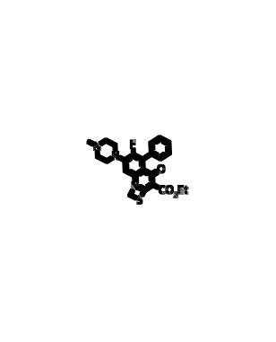 CCOC(=O)c1c2n(c3cc(N4CCN(C)CC4)c(F)c(-c4ccccc4)c3c1=O)CS2